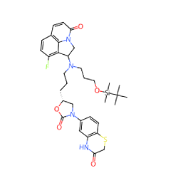 CC(C)(C)[Si](C)(C)OCCCN(CCC[C@@H]1CN(c2ccc3c(c2)NC(=O)CS3)C(=O)O1)C1Cn2c(=O)ccc3ccc(F)c1c32